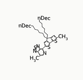 CCCCCCCCCCCCCCCCC1(CCCCCCCCCCCCCCCC)c2cc(C)sc2-c2sc(-c3ncc(C)c4nsnc34)cc21